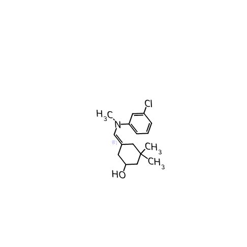 CN(/C=C1/CC(O)CC(C)(C)C1)c1cccc(Cl)c1